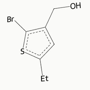 CCc1cc(CO)c(Br)s1